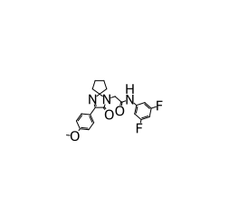 COc1ccc(C2=NC3(CCCC3)N(CC(=O)Nc3cc(F)cc(F)c3)C2=O)cc1